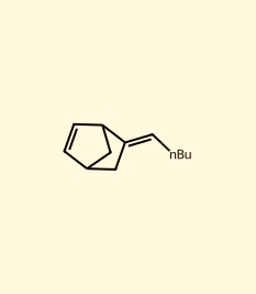 CCCC/C=C1\CC2C=CC1C2